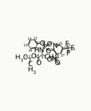 CC(C)OC(=O)C(C)NP(=O)(Oc1ccccc1)Oc1ncc(C(F)(F)F)cc1[N+](=O)[O-]